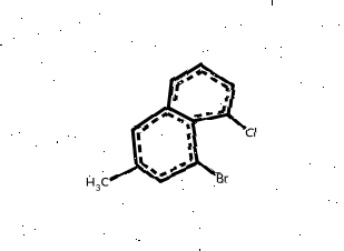 Cc1cc(Br)c2c(Cl)cccc2c1